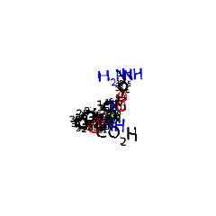 Cl.N=C(N)c1ccc(OCC(=O)N2CCCc3cc(NC(C(=O)O)S(=O)(=O)c4cccc5ccccc45)ccc32)cc1